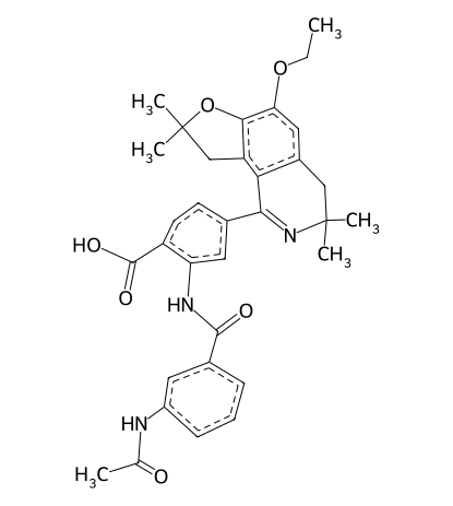 CCOc1cc2c(c3c1OC(C)(C)C3)C(c1ccc(C(=O)O)c(NC(=O)c3cccc(NC(C)=O)c3)c1)=NC(C)(C)C2